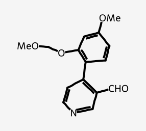 COCOc1cc(OC)ccc1-c1ccncc1C=O